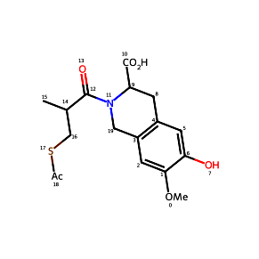 COc1cc2c(cc1O)CC(C(=O)O)N(C(=O)C(C)CSC(C)=O)C2